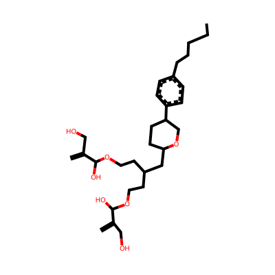 C=C(CO)C(O)OCCC(CCOC(O)C(=C)CO)CC1CCC(c2ccc(CCCCC)cc2)CO1